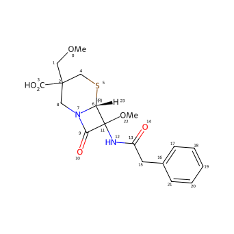 COCC1(C(=O)O)CS[C@H]2N(C1)C(=O)C2(NC(=O)Cc1ccccc1)OC